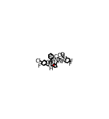 CC1(C)N=C(C23CC(C2)[C@H](N(Cc2ccc(Cl)c(F)c2)S(=O)(=O)c2ccccc2)C3)N[C@H]1C(=O)N1CCC(F)(F)CC1